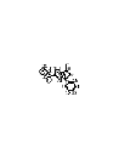 CC1(C(=O)c2nc3n(n2)[C@@H](c2ccccc2)C[C@H]3F)COC1